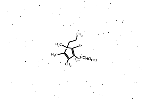 CCCC1(C)C(C)=C(C)C(C)=[C]1[Zr].Cl.Cl.Cl